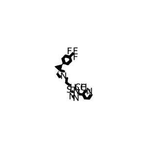 Cc1ncccc1-c1nnc(SCCCN2CC[C@@]3(C[C@H]3c3ccc(C(F)(F)F)cc3)C2)n1C